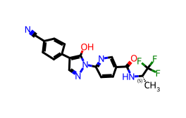 C[C@H](NC(=O)c1ccc(-n2ncc(-c3ccc(C#N)cc3)c2O)nc1)C(F)(F)F